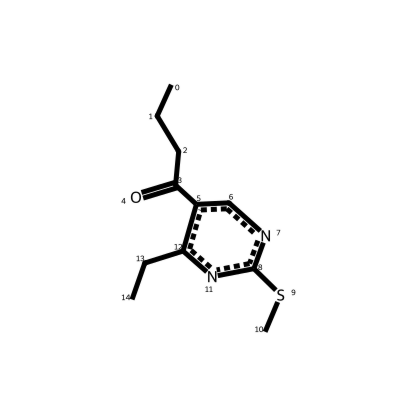 CCCC(=O)c1cnc(SC)nc1CC